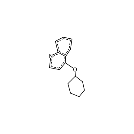 c1ccc2c(OC3CCCCC3)ccnc2c1